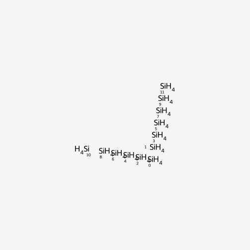 [SiH4].[SiH4].[SiH4].[SiH4].[SiH4].[SiH4].[SiH4].[SiH4].[SiH4].[SiH4].[SiH4].[SiH4]